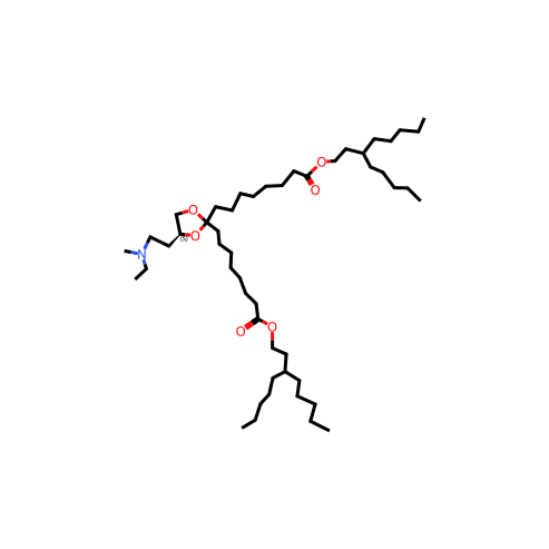 CCCCCC(CCCCC)CCOC(=O)CCCCCCCC1(CCCCCCCC(=O)OCCC(CCCCC)CCCCC)OC[C@H](CCN(C)CC)O1